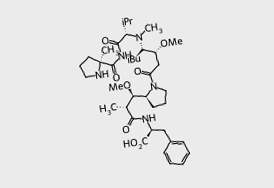 CC[C@H](C)[C@@H]([C@@H](CC(=O)N1CCC[C@H]1[C@H](OC)[C@@H](C)C(=O)N[C@@H](Cc1ccccc1)C(=O)O)OC)N(C)[C@H](C(=O)NC(=O)[C@]1(C)CCCN1)C(C)C